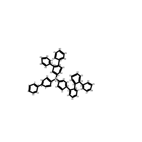 c1ccc(-c2ccc(N(c3ccc(-c4ccccc4-c4ccccc4-c4ccccc4)cc3)c3ccc(-c4ccccc4)c(-c4ccccc4)c3)cc2)cc1